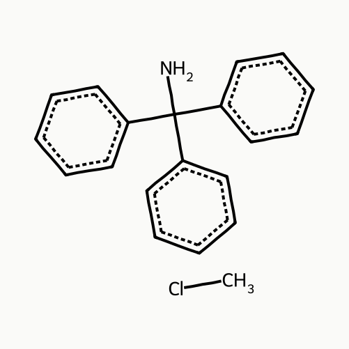 CCl.NC(c1ccccc1)(c1ccccc1)c1ccccc1